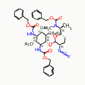 CC(=O)O[C@@H]1[C@@H](NC(=O)OCc2ccccc2)[C@H](OC(C)=O)[C@@H](OC(C)=O)[C@H](OC2O[C@H]([C@H](C)N(C)C(=O)OCc3ccccc3)CC[C@H]2N=[N+]=[N-])[C@H]1NC(=O)OCc1ccccc1